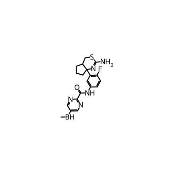 CBc1cnc(C(=O)Nc2ccc(F)c(C34CCCC3CSC(N)=N4)c2)nc1